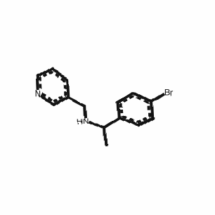 CC(NCc1cccnc1)c1ccc(Br)cc1